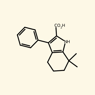 CC1(C)CCCc2c1[nH]c(C(=O)O)c2-c1ccccc1